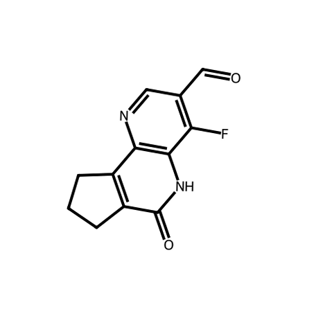 O=Cc1cnc2c3c(c(=O)[nH]c2c1F)CCC3